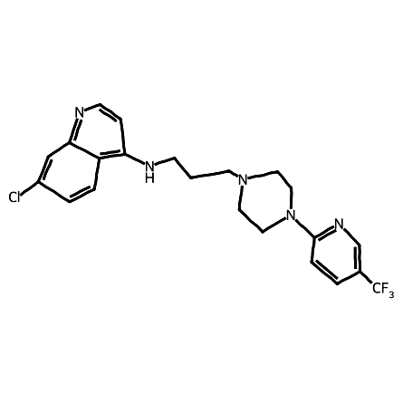 FC(F)(F)c1ccc(N2CCN(CCCNc3ccnc4cc(Cl)ccc34)CC2)nc1